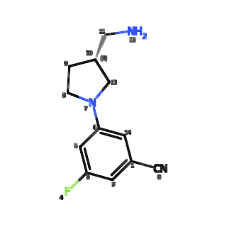 N#Cc1cc(F)cc(N2CC[C@H](CN)C2)c1